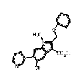 CCOC(=O)c1c(COc2ccccc2)n(C)c2cc(-c3cccnc3)c(O)cc12